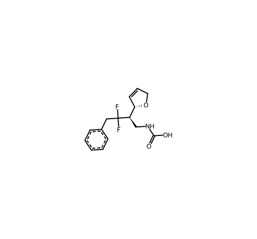 O=C(O)NC[C@H]([C@@H]1C=CCO1)C(F)(F)Cc1ccccc1